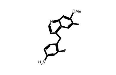 COc1cc2nccc(Cc3ccc(N)cc3F)c2cc1C